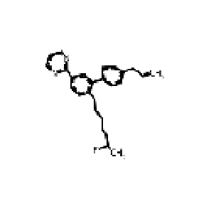 C=CCc1ccc(-c2cc(-c3ncccn3)ccc2CCCCCC(C)F)cc1